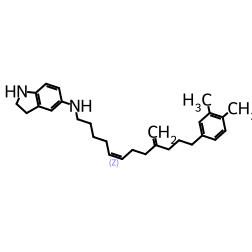 C=C(CC/C=C\CCCCNc1ccc2c(c1)CCN2)CCCc1ccc(C)c(C)c1